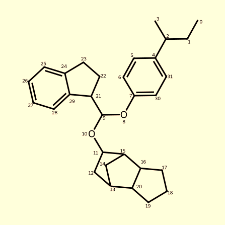 CCC(C)c1ccc(OC(OC2CC3CC2C2CCCC32)C2CCc3ccccc32)cc1